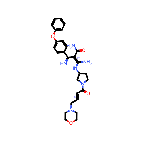 N=C(/C(C(N)=O)=C(/N)NC1CCN(C(=O)/C=C/CN2CCOCC2)C1)c1ccc(Oc2ccccc2)cc1